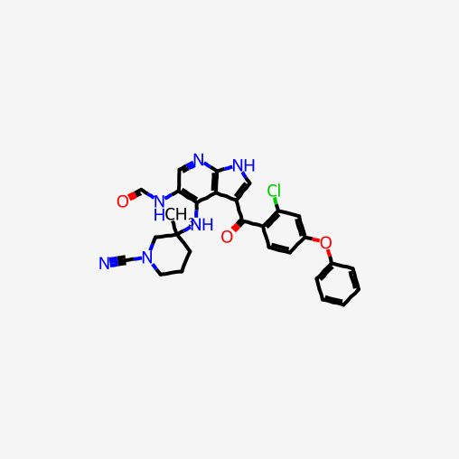 CC1(Nc2c(NC=O)cnc3[nH]cc(C(=O)c4ccc(Oc5ccccc5)cc4Cl)c23)CCCN(C#N)C1